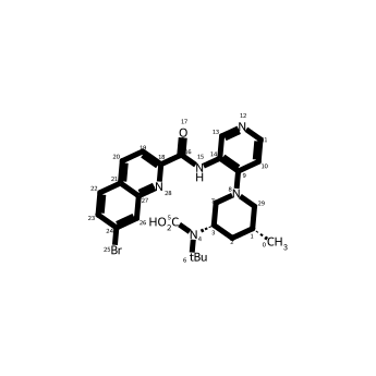 C[C@@H]1C[C@H](N(C(=O)O)C(C)(C)C)CN(c2ccncc2NC(=O)c2ccc3ccc(Br)cc3n2)C1